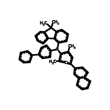 Cc1cc(-c2ccc3ccccc3c2)cc(C)c1N(c1ccc(-c2ccccc2)cc1)c1cccc2c1-c1ccccc1C2(C)C